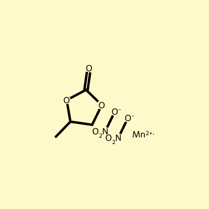 CC1COC(=O)O1.O=[N+]([O-])[O-].O=[N+]([O-])[O-].[Mn+2]